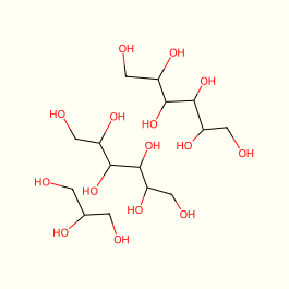 OCC(O)C(O)C(O)C(O)CO.OCC(O)C(O)C(O)C(O)CO.OCC(O)CO